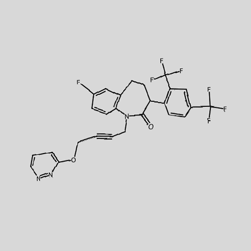 O=C1C(c2ccc(C(F)(F)F)cc2C(F)(F)F)CCc2cc(F)ccc2N1CC#CCOc1cccnn1